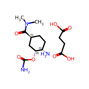 CN(C)C(=O)[C@H]1CC[C@H](N)[C@H](OC(N)=O)C1.O=C(O)CCC(=O)O